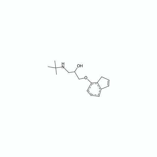 CC(C)(C)NCC(O)COc1cccc2c1CC=C2